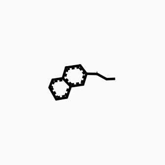 CC[CH]c1ccc2ccccc2c1